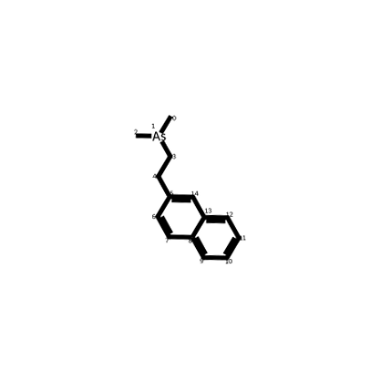 C[As](C)CCc1ccc2ccccc2c1